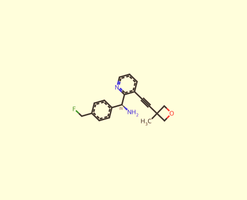 CC1(C#Cc2cccnc2[C@@H](N)c2ccc(CF)cc2)COC1